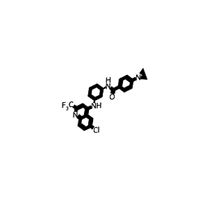 O=C(N[C@@H]1CCC[C@H](Nc2cc(C(F)(F)F)nc3ccc(Cl)cc23)C1)c1ccc(N2CC2)cc1